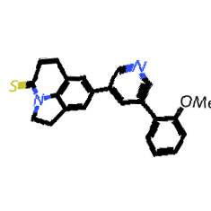 COc1ccccc1-c1cncc(-c2cc3c4c(c2)CCN4C(=S)CC3)c1